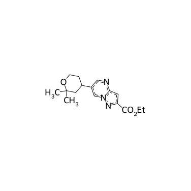 CCOC(=O)c1cc2ncc(C3CCOC(C)(C)C3)cn2n1